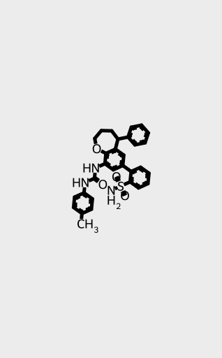 Cc1ccc(NC(=O)Nc2cc(-c3ccccc3S(N)(=O)=O)cc3c2OCCCC3c2ccccc2)cc1